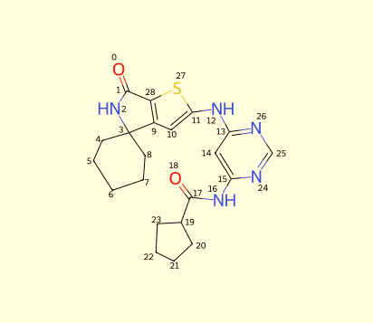 O=C1NC2(CCCCC2)c2cc(Nc3cc(NC(=O)C4CCCC4)ncn3)sc21